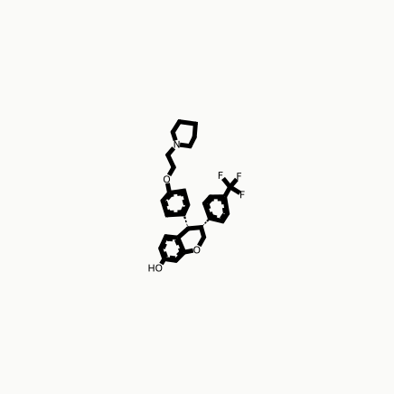 Oc1ccc2c(c1)OC[C@@H](c1ccc(C(F)(F)F)cc1)[C@H]2c1ccc(OCCN2CCCCC2)cc1